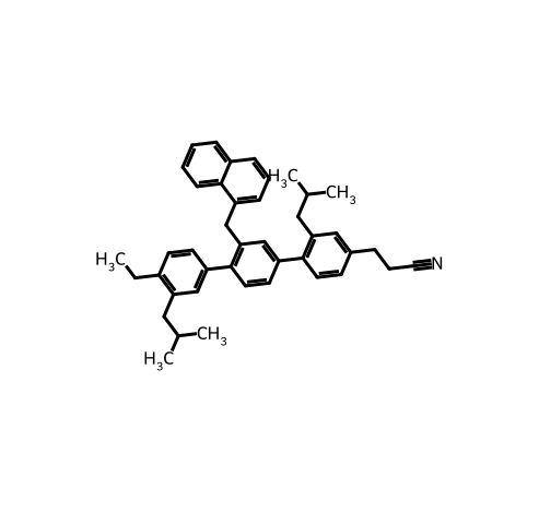 CCc1ccc(-c2ccc(-c3ccc(CCC#N)cc3CC(C)C)cc2Cc2cccc3ccccc23)cc1CC(C)C